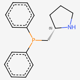 c1ccc(P(C[C@@H]2CCCN2)c2ccccc2)cc1